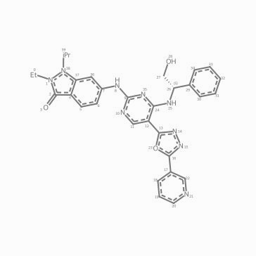 CCn1c(=O)c2ccc(Nc3ncc(-c4nnc(-c5cccnc5)o4)c(N[C@H](CO)c4ccccc4)n3)cc2n1C(C)C